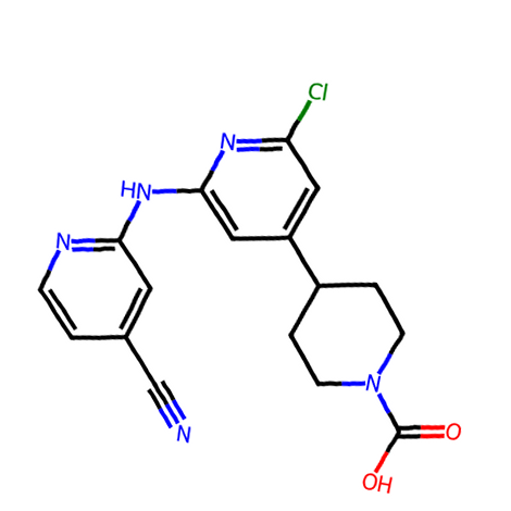 N#Cc1ccnc(Nc2cc(C3CCN(C(=O)O)CC3)cc(Cl)n2)c1